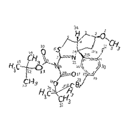 CO[C@@H]1C[C@H]2CSC(N(C(=O)OC(C)(C)C)C(=O)OC(C)(C)C)=N[C@@]2(c2cc(Br)ccc2F)C1